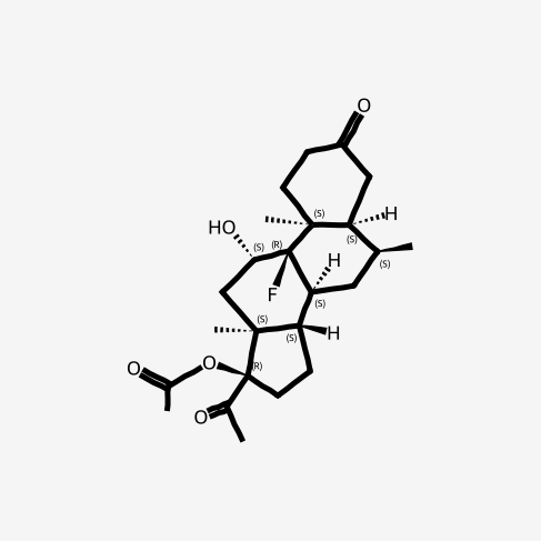 CC(=O)O[C@]1(C(C)=O)CC[C@H]2[C@@H]3C[C@H](C)[C@@H]4CC(=O)CC[C@]4(C)[C@@]3(F)[C@@H](O)C[C@@]21C